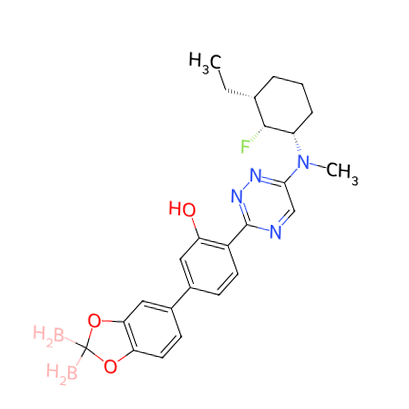 BC1(B)Oc2ccc(-c3ccc(-c4ncc(N(C)[C@H]5CCC[C@@H](CC)[C@H]5F)nn4)c(O)c3)cc2O1